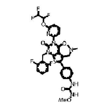 CONC(=O)Nc1ccc(-c2sc3c(c2CN(C)C)c(=O)n(-c2cccc(OC(F)C(F)F)n2)c(=O)n3Cc2c(F)cccc2F)cc1